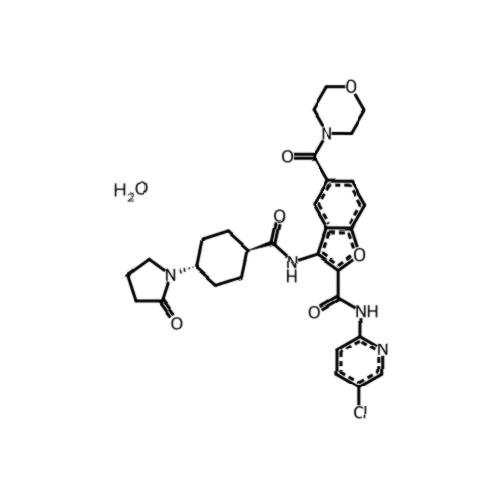 O.O=C(Nc1ccc(Cl)cn1)c1oc2ccc(C(=O)N3CCOCC3)cc2c1NC(=O)[C@H]1CC[C@H](N2CCCC2=O)CC1